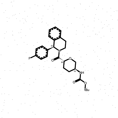 CC(C)(C)OC(=O)N[C@H]1CC[C@H](C(=O)N2CCc3ccccc3[C@@H]2c2ccc(F)cc2)OC1